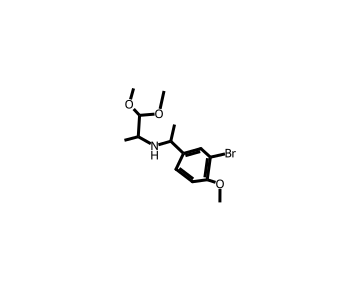 COc1ccc(C(C)NC(C)C(OC)OC)cc1Br